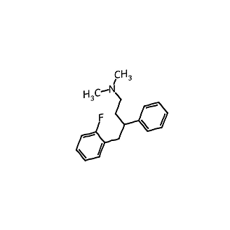 CN(C)CCC(Cc1ccccc1F)c1ccccc1